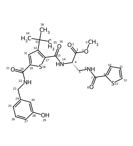 COC(=O)[C@H](CNC(=O)c1cccs1)NC(=O)c1sc(C(=O)NCc2cccc(O)c2)cc1C(C)(C)C